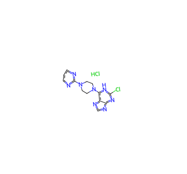 Cl.Clc1nc2ncnc-2c(N2CCN(c3ncccn3)CC2)[nH]1